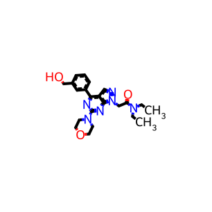 CCN(CC)C(=O)Cn1ncc2c(-c3cccc(CO)c3)nc(N3CCOCC3)nc21